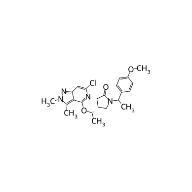 COc1ccc(C(C)N2C[C@H](C(C)Oc3nc(Cl)cc4nn(C)c(C)c34)CC2=O)cc1